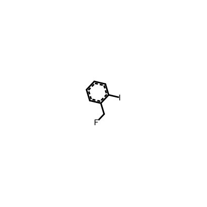 FCc1ccccc1I